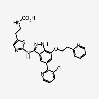 O=C(O)NCCc1cnc(Nc2n[nH]c3c(OCCc4ccccn4)cc(-c4ncccc4Cl)cc23)s1